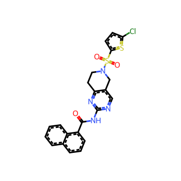 O=C(Nc1ncc2c(n1)CCN(S(=O)(=O)c1ccc(Cl)s1)C2)c1cccc2ccccc12